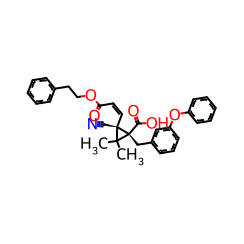 CC1(C)[C@](C#N)(/C=C\C(=O)OCCc2ccccc2)[C@]1(Cc1cccc(Oc2ccccc2)c1)C(=O)O